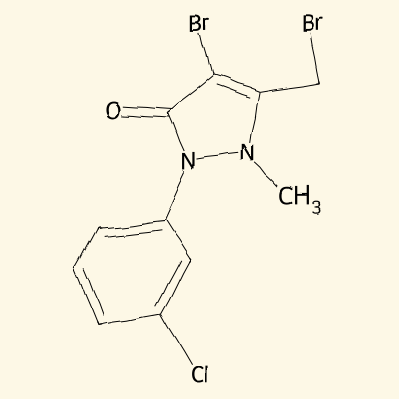 Cn1c(CBr)c(Br)c(=O)n1-c1cccc(Cl)c1